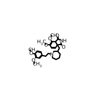 COC1=C(OC)C2C(=O)NC(=O)C2(CC2CCCCN(CCc3ccc(OC)c(OC)c3)C2)C=C1